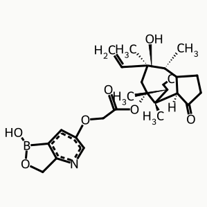 C=C[C@]1(C)C[C@@H](OC(=O)COc2cnc3c(c2)B(O)OC3)[C@]2(C)[C@H](C)CC[C@]3(CCC(=O)[C@H]32)[C@@H](C)[C@@H]1O